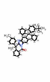 Cc1ccc(C2(C)c3ccccc3C(=O)n3c2nc2cc4c(cc23)-c2ccccc2C42c3ccccc3-c3ccc(C(C)(C)C)cc32)cc1